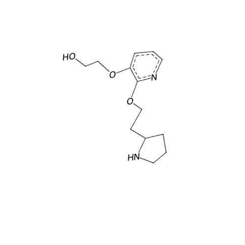 OCCOc1cccnc1OCCC1CCCN1